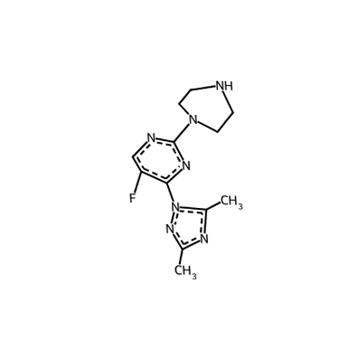 Cc1nc(C)n(-c2nc(N3CCNCC3)ncc2F)n1